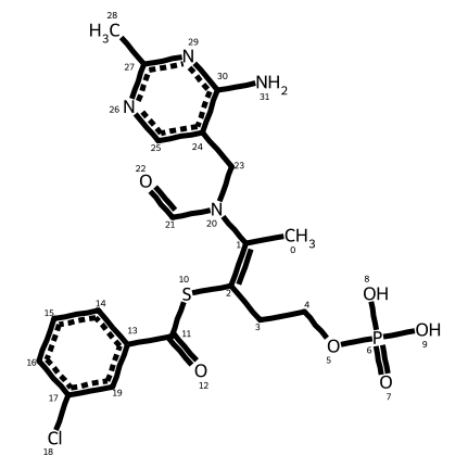 C/C(=C(\CCOP(=O)(O)O)SC(=O)c1cccc(Cl)c1)N(C=O)Cc1cnc(C)nc1N